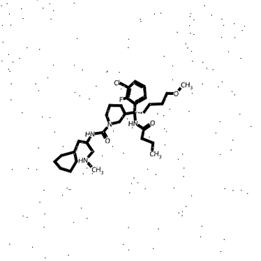 CCCC(=O)N[C@](CCCCOC)(c1cccc(Cl)c1F)C1CCCN(C(=O)NC(CNC)CC2CCCCC2)C1